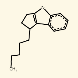 CCCCCC1CCC2=C1c1ccccc1[N]2